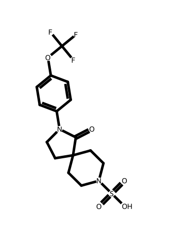 O=C1N(c2ccc(OC(F)(F)F)cc2)CCC12CCN(S(=O)(=O)O)CC2